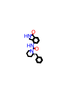 O=C1NCc2c(NC(=O)N3CCCC[C@@H]3Cc3ccccc3)cccc21